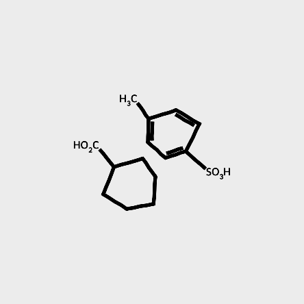 Cc1ccc(S(=O)(=O)O)cc1.O=C(O)C1CCCCC1